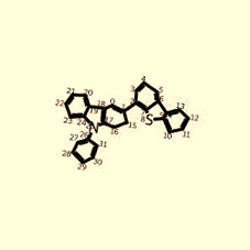 C1=C(c2cccc3c2sc2ccccc23)CCc2c1c1ccccc1n2-c1ccccc1